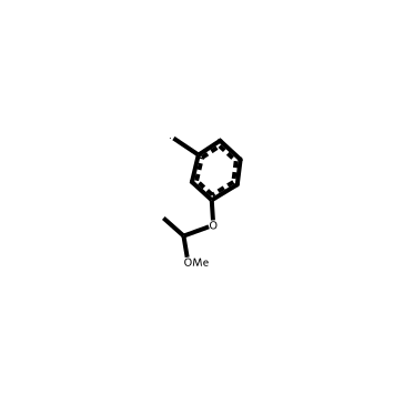 [CH2]c1cccc(OC(C)OC)c1